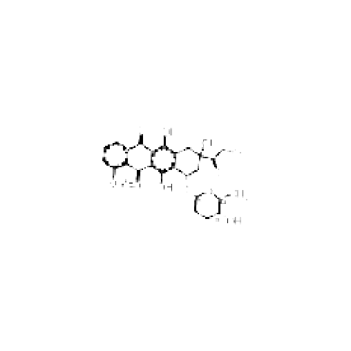 COc1cccc2c1C(=O)c1c(O)c3c(c(O)c1C2=O)CC(O)(C(=O)CO)C[C@@H]3O[C@H]1CC[C@H](O)[C@H](C)O1